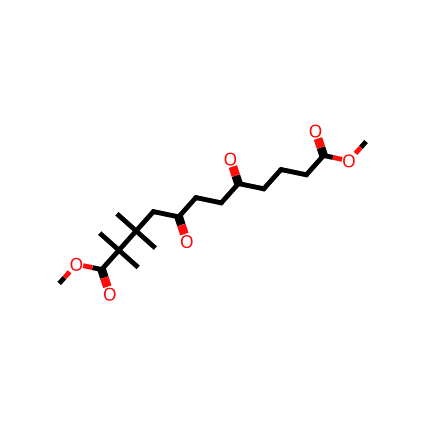 COC(=O)CCCC(=O)CCC(=O)CC(C)(C)C(C)(C)C(=O)OC